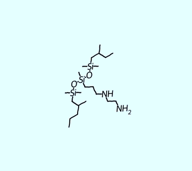 CCCC(C)C[Si](C)(C)O[Si](C)(CCCNCCN)O[Si](C)(C)CC(C)CC